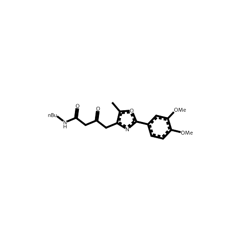 CCCCNC(=O)CC(=O)Cc1nc(-c2ccc(OC)c(OC)c2)oc1C